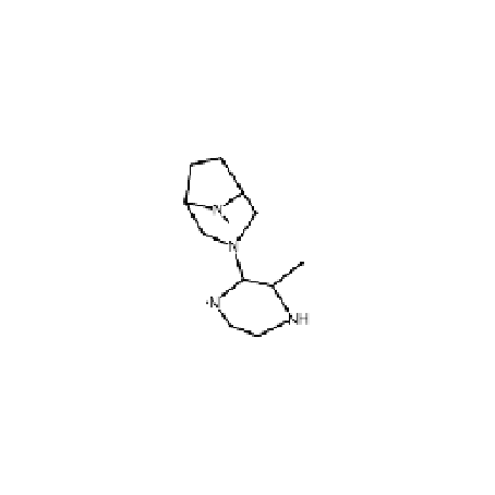 CC1NCC[N]C1N1CC2CCC(C1)N2C